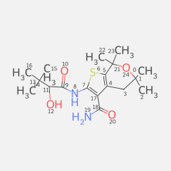 CC1(C)Cc2c(sc(NC(=O)C(O)C(C)(C)C)c2C(N)=O)C(C)(C)O1